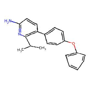 CC(C)c1nc(N)ccc1-c1ccc(Oc2ccccc2)cc1